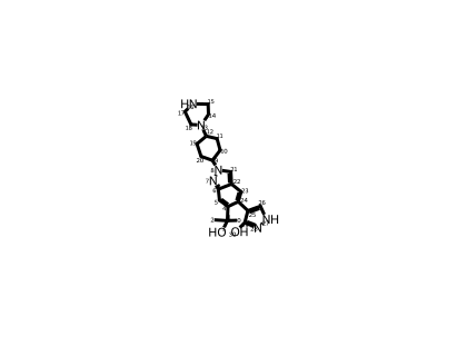 CC(C)(O)c1cc2nn(C3CCC(N4CCNCC4)CC3)cc2cc1-c1c[nH]nc1O